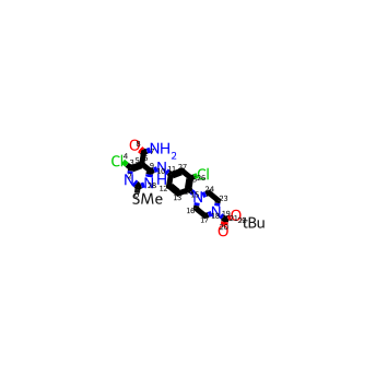 CSc1nc(Cl)c(C(N)=O)c(Nc2ccc(N3CCN(C(=O)OC(C)(C)C)CC3)c(Cl)c2)n1